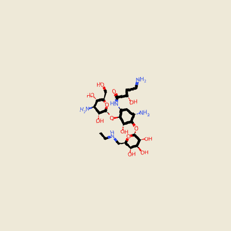 CCNC[C@H]1O[C@H](OC2[C@@H](N)C[C@@H](NC(=O)[C@@H](O)CCN)[C@H](O[C@H]3O[C@H](CO)[C@@H](O)[C@H](N)[C@H]3O)[C@H]2O)[C@H](O)[C@@H](O)[C@@H]1O